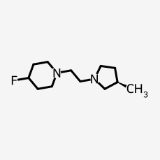 C[C@@H]1CCN(CCN2CCC(F)CC2)C1